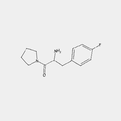 NC(Cc1ccc(F)cc1)C(=O)N1CCCC1